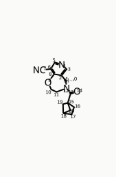 C[C@H]1c2cncc(C#N)c2OCCN1C(=O)C12CCC(C1)C2